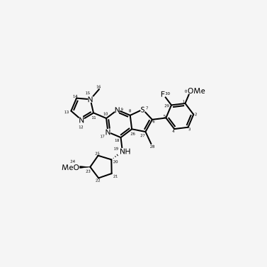 COc1cccc(-c2sc3nc(-c4nccn4C)nc(N[C@@H]4CC[C@@H](OC)C4)c3c2C)c1F